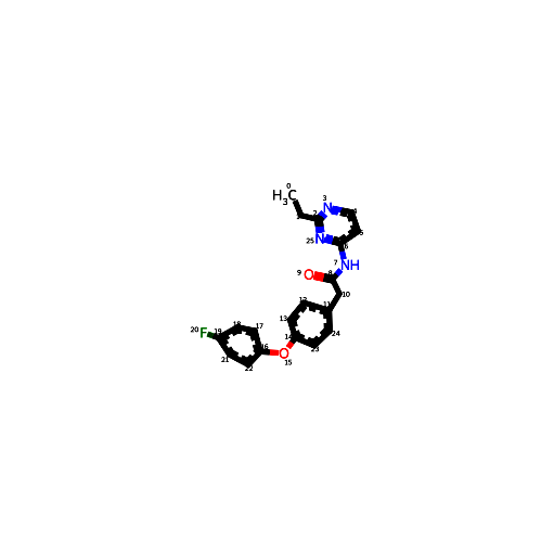 CCc1nccc(NC(=O)Cc2ccc(Oc3ccc(F)cc3)cc2)n1